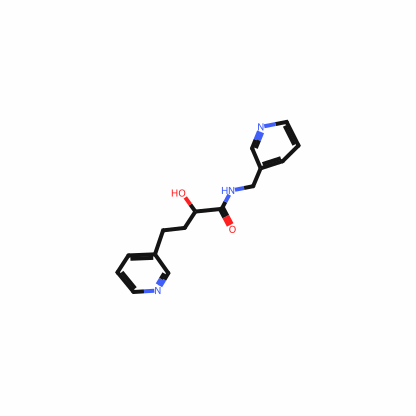 O=C(NCc1cccnc1)C(O)CCc1cccnc1